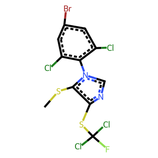 CSc1c(SC(F)(Cl)Cl)ncn1-c1c(Cl)cc(Br)cc1Cl